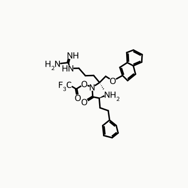 C[C@](CCCNC(=N)N)(COc1ccc2ccccc2c1)N(OC(=O)C(F)(F)F)C(=O)[C@@H](N)CCc1ccccc1